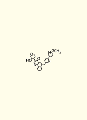 COc1ccc(-c2ccc(Cc3cc4c(=O)n([C@H]5CCOC[C@@H]5O)cnc4c4ccccc34)cn2)cn1